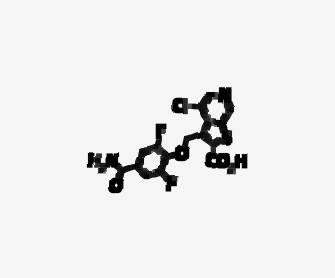 NC(=O)c1cc(F)c(OCc2c(C(=O)O)sc3cncc(Cl)c23)c(F)c1